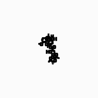 COc1ccc2c3c1O[C@H]1C(OC(=O)[C@@H](O)CC(=O)O[C@@H](C)C(=O)O[C@@H](C)C(C)=O)=CC[C@@]4(O)[C@@H](C2)N(C)CC[C@]314